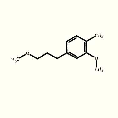 COCCCc1ccc(C)c(OC)c1